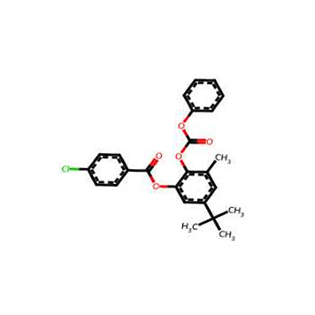 Cc1cc(C(C)(C)C)cc(OC(=O)c2ccc(Cl)cc2)c1OC(=O)Oc1ccccc1